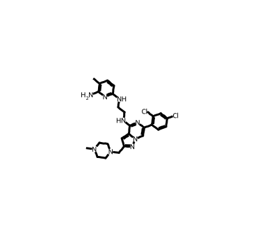 Cc1ccc(NCCNc2nc(-c3ccc(Cl)cc3Cl)cn3nc(CN4CCN(C)CC4)cc23)nc1N